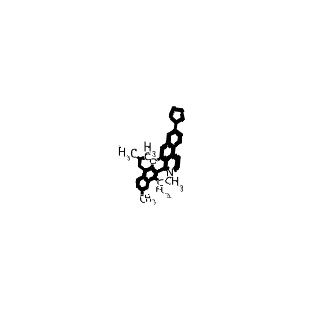 Cc1ccc2c(CC(C)C)c3c(c(C)c2c1)-c1c2c(cc4cc(C5CCCC5)ccc4c2cc[n+]1C)O3